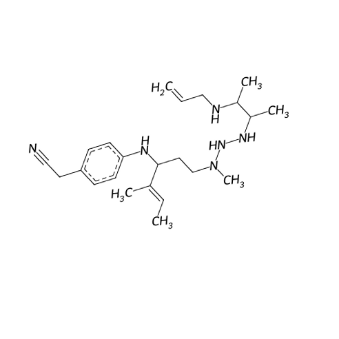 C=CCNC(C)C(C)NNN(C)CCC(Nc1ccc(CC#N)cc1)/C(C)=C/C